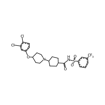 O=C(NS(=O)(=O)c1cccc(C(F)(F)F)c1)C1CCC(N2CCC(Oc3ccc(Cl)c(Cl)c3)CC2)CC1